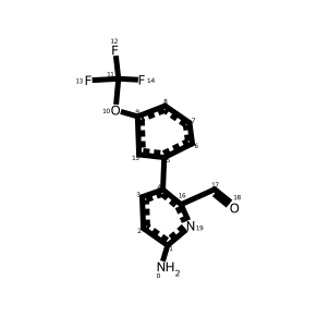 Nc1ccc(-c2cccc(OC(F)(F)F)c2)c(C=O)n1